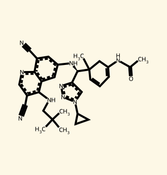 CC(=O)NC1=CC=CC(C)([C@H](Nc2cc(C#N)c3ncc(C#N)c(NCC(C)(C)C)c3c2)c2cn(C3CC3)nn2)C1